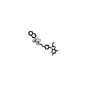 CCc1nc2c(C)cc(C)nc2n1-c1ccc(CCNC(=O)NS(=O)(=O)c2ccc3ccccc3c2)cc1